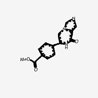 COC(=O)c1ccc(-c2cn3cncc3c(=O)[nH]2)cc1